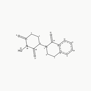 O=C1CCC(N2CCc3ccccc3C2=O)C(=O)N1O